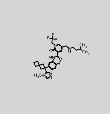 CC(C)CCNCc1cc(C(=O)Nc2cc(C3(c4nncn4C)CC4(CCC4)C3)ccc2F)c(=O)n(CC(F)(F)F)c1